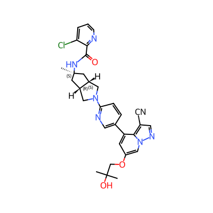 CC(C)(O)COc1cc(-c2ccc(N3C[C@@H]4C[C@@](C)(NC(=O)c5ncccc5Cl)C[C@@H]4C3)nc2)c2c(C#N)cnn2c1